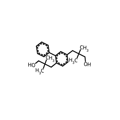 CC(C)(CO)Cc1ccc(CC(C)(C)CO)c(-c2ccccc2)c1